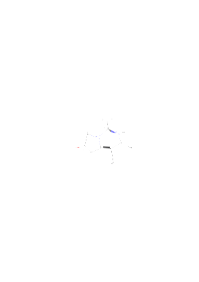 CC1=C2C[C@@H](O)CN2C(C(C)(C)C)=N[C@H]1C